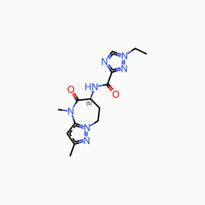 CCn1cnc(C(=O)N[C@H]2CCn3nc(C)cc3N(C)C2=O)n1